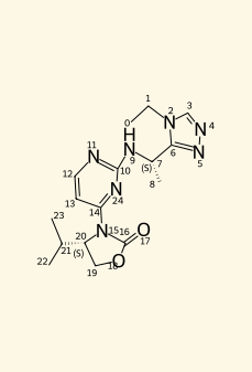 CCn1cnnc1[C@H](C)Nc1nccc(N2C(=O)OC[C@@H]2C(C)C)n1